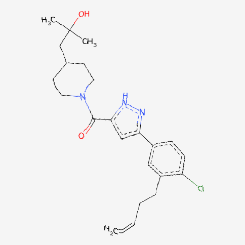 C=CCCc1cc(-c2cc(C(=O)N3CCC(CC(C)(C)O)CC3)[nH]n2)ccc1Cl